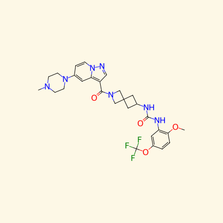 COc1ccc(OC(F)(F)F)cc1NC(=O)NC1CC2(C1)CN(C(=O)c1cnn3ccc(N4CCN(C)CC4)cc13)C2